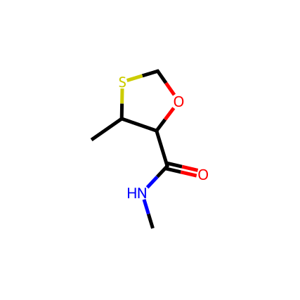 CNC(=O)C1OCSC1C